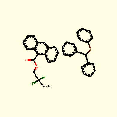 O=C(OCC(F)(F)S(=O)(=O)O)c1c2ccccc2cc2ccccc12.c1ccc(SC(c2ccccc2)c2ccccc2)cc1